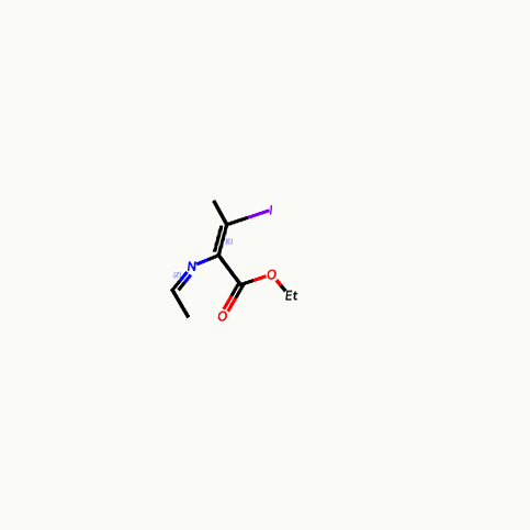 C/C=N\C(C(=O)OCC)=C(/C)I